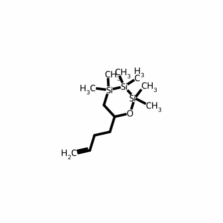 C=CCCC1C[Si](C)(C)[Si](C)(C)[Si](C)(C)O1